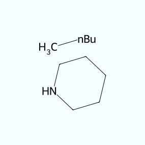 C1CCNCC1.CCCCC